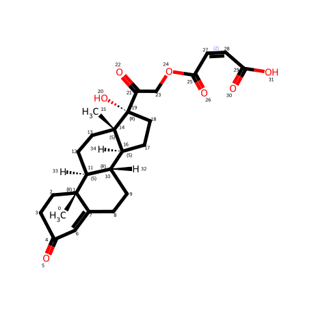 C[C@]12CCC(=O)C=C1CC[C@@H]1[C@@H]2CC[C@@]2(C)[C@H]1CC[C@]2(O)C(=O)COC(=O)/C=C\C(=O)O